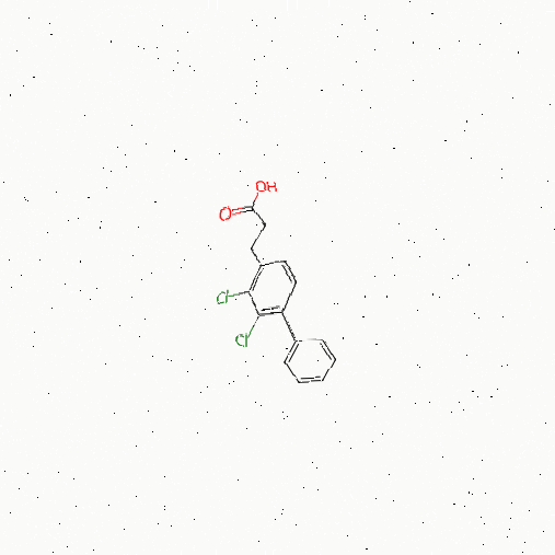 O=C(O)CCc1ccc(-c2ccccc2)c(Cl)c1Cl